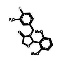 COc1cccc(OC)c1C1OCC(=O)N1Cc1ccc(F)c(C(F)(F)F)c1